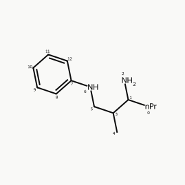 CCCC(N)C(C)CNc1ccccc1